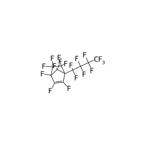 FC1=C(F)C2(C(F)(F)C(F)(F)C(F)(F)C(F)(F)F)C(F)(F)C(F)(F)C1(F)C2(F)F